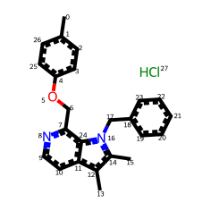 Cc1ccc(OCc2nccc3c(C)c(C)n(Cc4ccccc4)c23)cc1.Cl